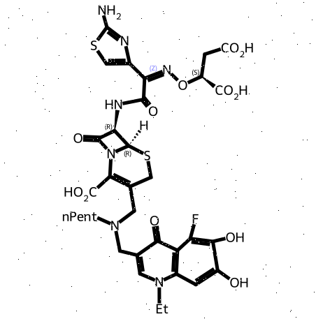 CCCCCN(CC1=C(C(=O)O)N2C(=O)[C@@H](NC(=O)/C(=N\O[C@@H](CC(=O)O)C(=O)O)c3csc(N)n3)[C@H]2SC1)Cc1cn(CC)c2cc(O)c(O)c(F)c2c1=O